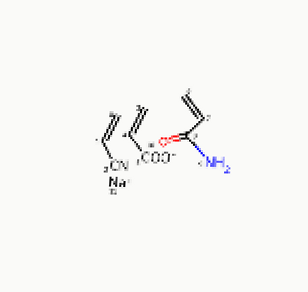 C=CC#N.C=CC(=O)[O-].C=CC(N)=O.[Na+]